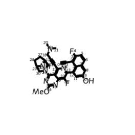 C#Cc1c(F)ccc2cc(O)cc(-c3nc(C#CCN(C)C)c4c(N5CC6CCC(C5)N6)nc(OC)nc4c3F)c12